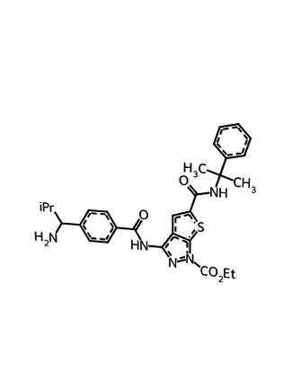 CCOC(=O)n1nc(NC(=O)c2ccc(C(N)C(C)C)cc2)c2cc(C(=O)NC(C)(C)c3ccccc3)sc21